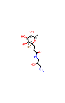 C[C@H]1O[C@@](S)(CCC(=O)NCC(O)CN)[C@@H](O)[C@@H](O)[C@@H]1O